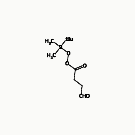 CC(C)(C)[Si](C)(C)OOC(=O)CCC=O